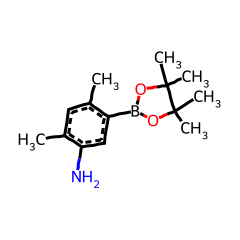 Cc1cc(C)c(B2OC(C)(C)C(C)(C)O2)cc1N